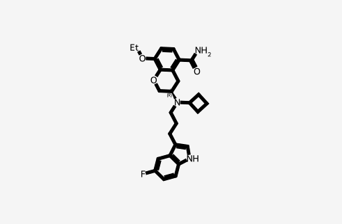 CCOc1ccc(C(N)=O)c2c1OC[C@H](N(CCCc1c[nH]c3ccc(F)cc13)C1CCC1)C2